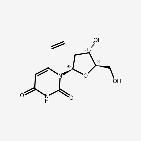 C=C.O=c1ccn([C@H]2C[C@H](O)[C@@H](CO)O2)c(=O)[nH]1